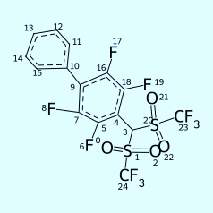 O=S(=O)(C(c1c(F)c(F)c(-c2ccccc2)c(F)c1F)S(=O)(=O)C(F)(F)F)C(F)(F)F